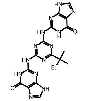 CCC(C)(C)c1nc(Nc2nc3[nH]cnc3c(=O)[nH]2)nc(Nc2nc3[nH]cnc3c(=O)[nH]2)n1